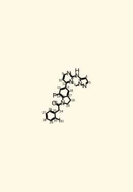 Cn1nccc1Nc1nccc(-c2cc(F)c3c(c2)CCN3C(=O)Cc2ccccc2I)n1